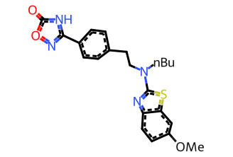 CCCCN(CCc1ccc(-c2noc(=O)[nH]2)cc1)c1nc2ccc(OC)cc2s1